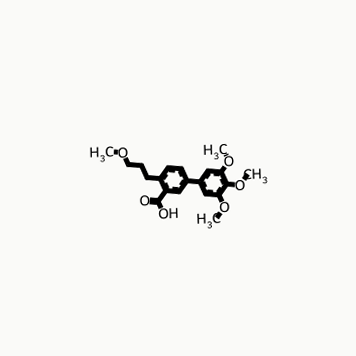 COCCCc1ccc(-c2cc(OC)c(OC)c(OC)c2)cc1C(=O)O